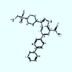 CCS(=O)(=O)N1CCC(c2c[nH]c3c(C(N)=O)cc(-c4ccc(-c5ccccc5)cc4)cc23)CC1